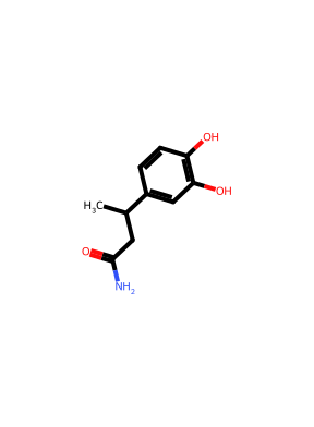 CC(CC(N)=O)c1ccc(O)c(O)c1